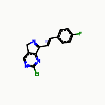 Fc1ccc(/C=C/C2=NCc3cnc(Cl)nc32)cc1